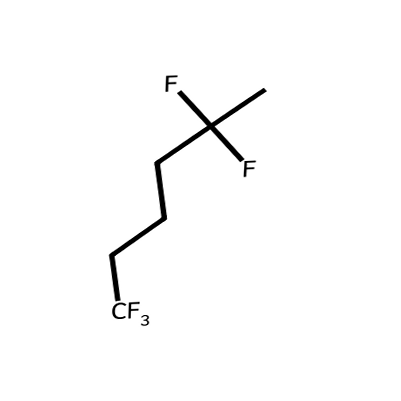 CC(F)(F)CCCC(F)(F)F